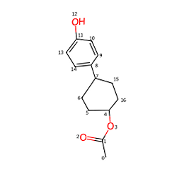 CC(=O)OC1CCC(c2ccc(O)cc2)CC1